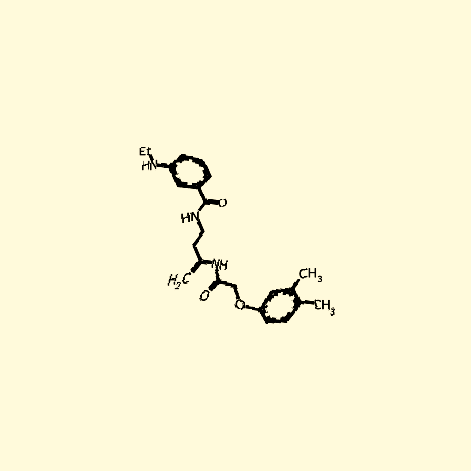 C=C(CCNC(=O)c1cccc(NCC)c1)NC(=O)COc1ccc(C)c(C)c1